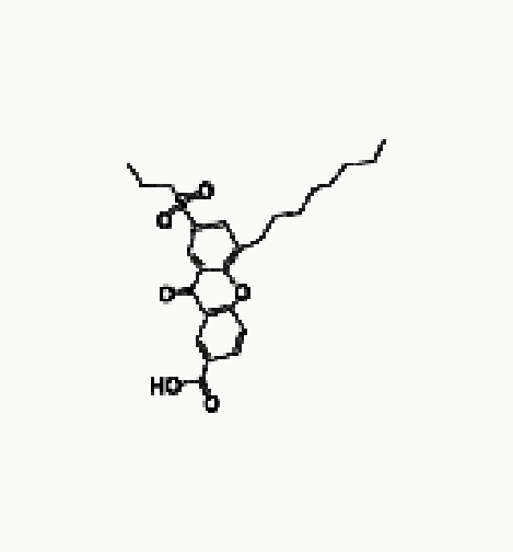 CCCCCCCCc1cc(S(=O)(=O)CCC)cc2c(=O)c3cc(C(=O)O)ccc3oc12